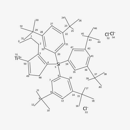 CCCC1=C([Si](c2cc(C(C)(C)C)cc(C(C)(C)C)c2)(c2cc(C(C)(C)C)cc(C(C)(C)C)c2)c2cc(C(C)(C)C)cc(C(C)(C)C)c2)CC=[C]1[Ti+3].[Cl-].[Cl-].[Cl-]